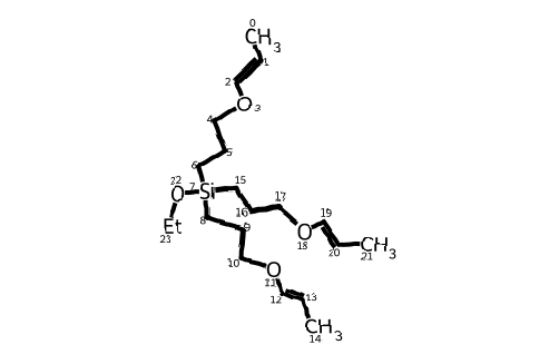 CC=COCCC[Si](CCCOC=CC)(CCCOC=CC)OCC